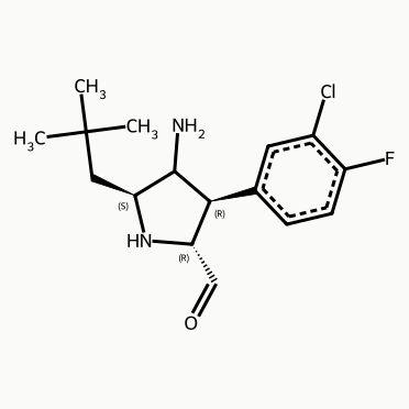 CC(C)(C)C[C@@H]1N[C@@H](C=O)[C@H](c2ccc(F)c(Cl)c2)C1N